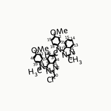 COc1ccc(N(C)c2nc(C)nc3ccccc23)cc1.COc1ccc(N(C)c2nc(CCl)nc3ccccc23)cc1